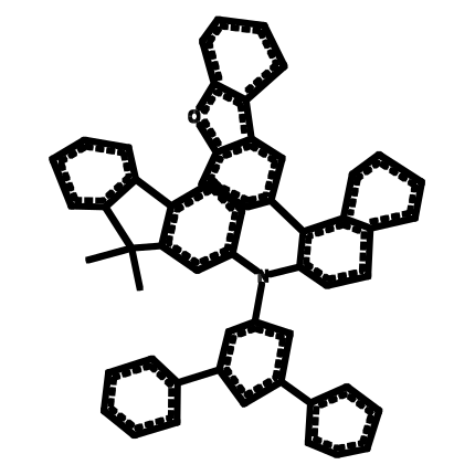 CC1(C)c2ccccc2-c2ccc(N(c3cc(-c4ccccc4)cc(-c4ccccc4)c3)c3ccc4ccccc4c3-c3ccc4oc5ccccc5c4c3)cc21